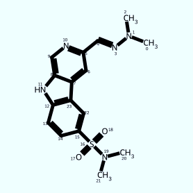 CN(C)N=Cc1cc2c(cn1)[nH]c1ccc(S(=O)(=O)N(C)C)cc12